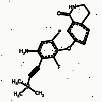 C[Si](C)(C)C#Cc1c(N)cc(F)c(Oc2ccc3c(c2)C(=O)NCC3)c1F